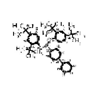 CC(C)(C)c1ccc(OP(Oc2ccc(C(C)(C)C)cc2C(C)(C)C)c2ccc(-c3ccccc3)cc2)c(C(C)(C)C)c1